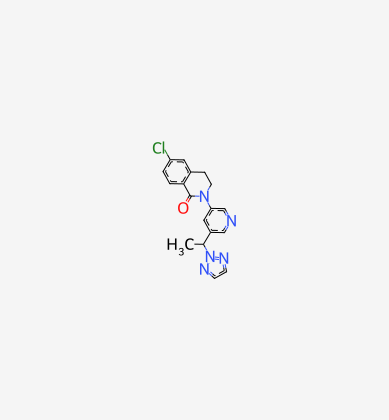 CC(c1cncc(N2CCc3cc(Cl)ccc3C2=O)c1)n1nccn1